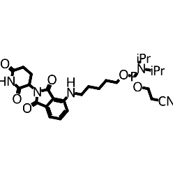 CC(C)N(C(C)C)P(OCCC#N)OCCCCCNc1cccc2c1C(=O)N(C1CCC(=O)NC1=O)C2=O